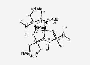 CNCP(CNC)(CNC)=NP(=NC(C)(C)C)(N=P(C)(N(C)C)N(C)C)N=P(CNC)(N(C)C)N(C)C